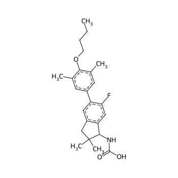 CCCCOc1c(C)cc(-c2cc3c(cc2F)C(NC(=O)O)C(C)(C)C3)cc1C